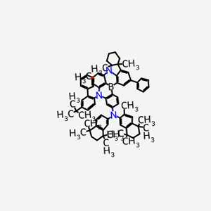 Cc1cc2c3c(c1)N1c4c(cc(-c5ccccc5)cc4C4(C)CCCCC14C)B3c1ccc(N(c3ccc4c(c3)C(C)(C)CCC4(C)C)c3cc4c(cc3C)C(C)(C)CCC4(C)C)cc1N2c1ccc(C(C)(C)C)cc1-c1ccccc1